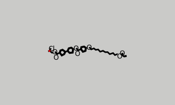 C=CC(=O)OCCCCCCCCCCCCOc1ccc(C(=O)Oc2ccc(-c3ccc(C(=O)OCC(C)Cl)cc3)cc2)cc1